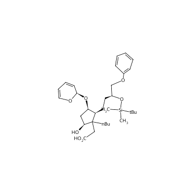 CCCCC1(CC(=O)O)[C@H](CC[C@@H](COc2ccccc2)O[Si](C)(C)C(C)(C)C)[C@H](O[C@@H]2C=CC=CO2)C[C@@H]1O